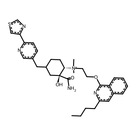 CCCCc1cc2ccccc2c(OCC[N+](C)(C)[C@H]2CCC(Cc3ccc(-c4cscn4)nc3)C[C@@]2(O)C(N)=O)n1